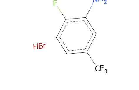 Br.Nc1cc(C(F)(F)F)ccc1F